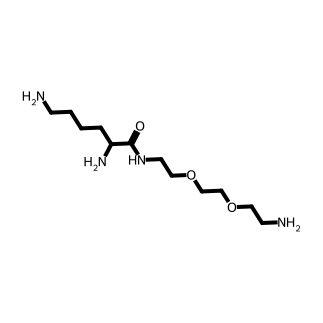 NCCCCC(N)C(=O)NCCOCCOCCN